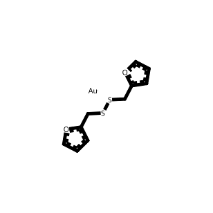 [Au].c1coc(CSSCc2ccco2)c1